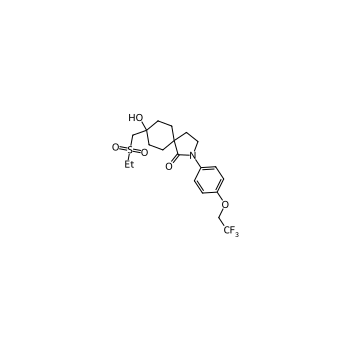 CCS(=O)(=O)CC1(O)CCC2(CCN(c3ccc(OCC(F)(F)F)cc3)C2=O)CC1